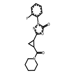 O=C(C1CC1c1nn(-c2ccccc2F)c(=O)o1)N1CCCCC1